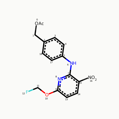 CC(=O)OCc1ccc(Nc2nc(OCF)ccc2[N+](=O)[O-])cc1